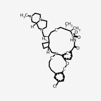 C[C@@H]1[C@@H](C)CCC[C@H](CN2CCN3CCN(C)C[C@H]3C2)[C@@H]2CC[C@H]2CN2CCCCc3cc(Cl)ccc3COc3ccc(cc32)C(=O)NS1(=O)=O